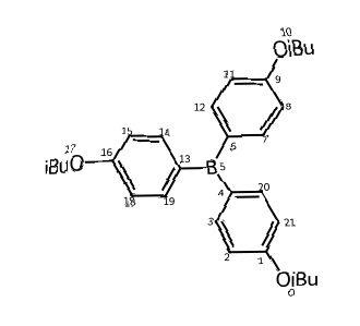 CC(C)COc1ccc(B(c2ccc(OCC(C)C)cc2)c2ccc(OCC(C)C)cc2)cc1